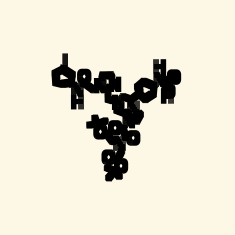 CC(C)(C)OC(=O)CN(CC(=O)OC(C)(C)C)C(=O)Cn1ccnc1CN(CCc1ccc(N[SH](=O)=O)cc1)Cc1nccn1CC(=O)Nc1cccc(I)c1